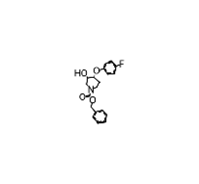 O=C(OCc1ccccc1)N1CC[C@@H](Oc2ccc(F)cc2)[C@H](O)C1